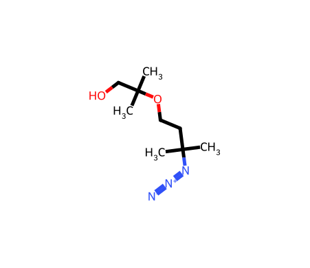 CC(C)(CCOC(C)(C)CO)N=[N+]=[N-]